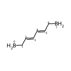 BC/C=C/C=C/CB